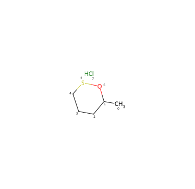 CC1CCCSO1.Cl